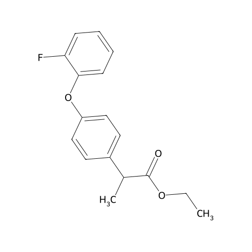 CCOC(=O)C(C)c1ccc(Oc2ccccc2F)cc1